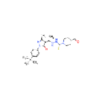 CC1=NN(c2ccc(C(C)(C)C)cc2)C(=O)/C1=C(/C)NNC(=S)N1CCC(C=O)CC1